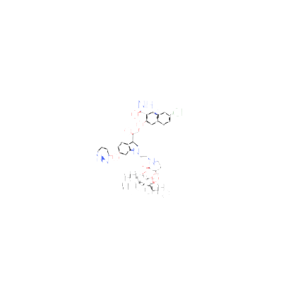 CC(C)(C)[Si](C)(C)O[C@H]1CCN(CCn2cc(C(=O)COc3cc4ccc(Cl)cc4cc3C(N)=O)c3ccc(Oc4cccnn4)cc32)C1=O